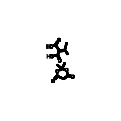 CC(C)=C(C(=O)O)C(=O)O.CC1(C)OC(=O)CC(=O)O1